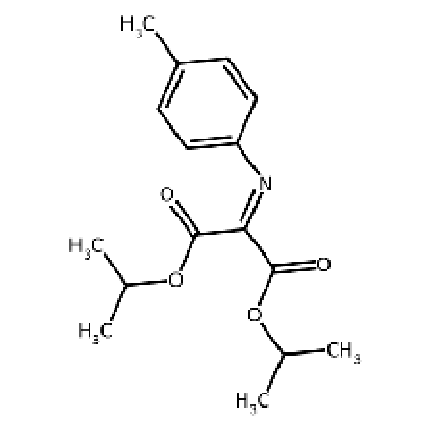 Cc1ccc(N=C(C(=O)OC(C)C)C(=O)OC(C)C)cc1